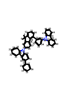 CC1(C)c2cc(-n3c4c(c5cc(-c6ccccc6)ccc53)C=CC=C=C4)ccc2-c2c(-c3cccc(-n4c5ccccc5c5ccccc54)c3)cccc21